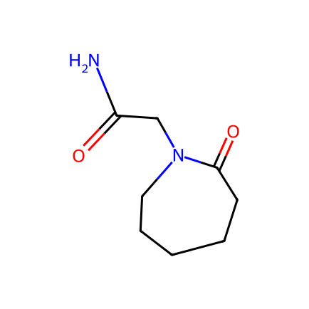 NC(=O)CN1CCCCCC1=O